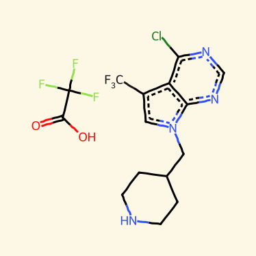 FC(F)(F)c1cn(CC2CCNCC2)c2ncnc(Cl)c12.O=C(O)C(F)(F)F